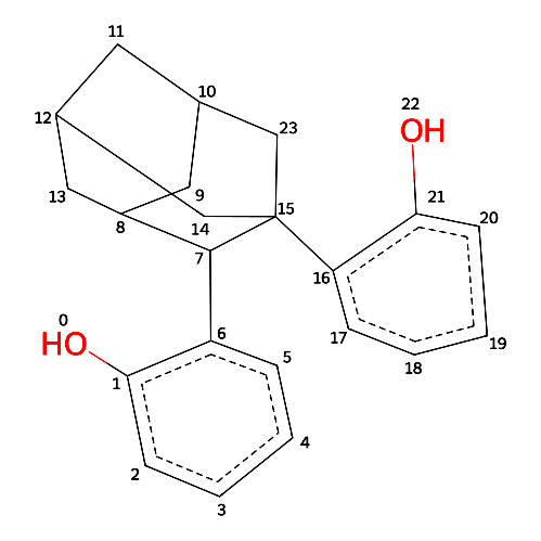 Oc1ccccc1C1C2CC3CC(C2)CC1(c1ccccc1O)C3